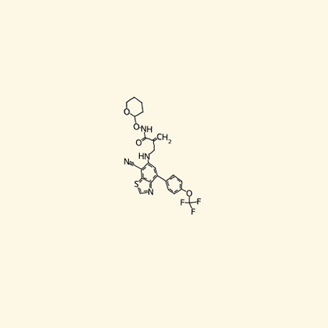 C=C(CNc1cc(-c2ccc(OC(F)(F)F)cc2)c2ncsc2c1C#N)C(=O)NOC1CCCCO1